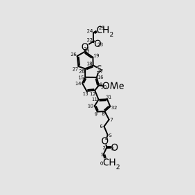 C=CC(=O)OCCCc1ccc(-c2ccc3c(sc4cc(OC(=O)C=C)ccc43)c2OC)cc1